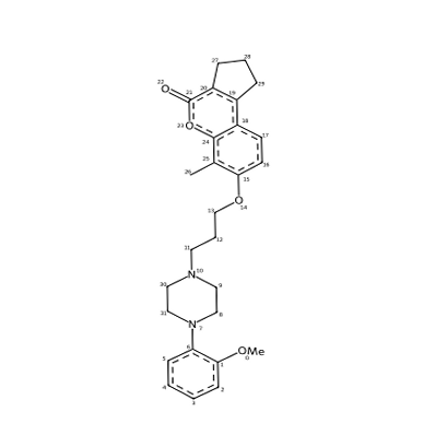 COc1ccccc1N1CCN(CCCOc2ccc3c4c(c(=O)oc3c2C)CCC4)CC1